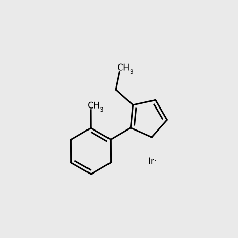 CCC1=C(C2=C(C)CC=CC2)CC=C1.[Ir]